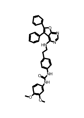 COc1ccc(NC(=O)Nc2ccc(CCNc3ncnc4oc(-c5ccccc5)c(-c5ccccc5)c34)cc2)cc1OC